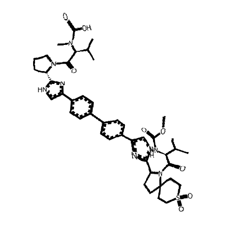 COC(=O)N[C@H](C(=O)N1C(c2nc(-c3ccc(-c4ccc(-c5c[nH]c([C@@H]6CCCN6C(=O)[C@H](C(C)C)N(C)C(=O)O)n5)cc4)cc3)c[nH]2)CCC12CCS(=O)(=O)CC2)C(C)C